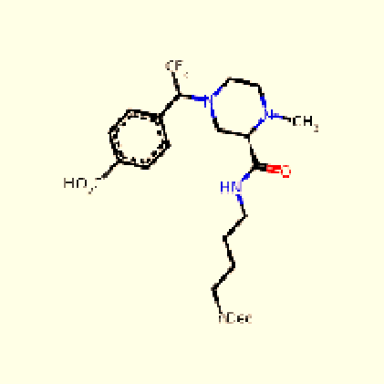 CCCCCCCCCCCCCCNC(=O)[C@H]1CN(C(c2ccc(C(=O)O)cc2)C(F)(F)F)CCN1C